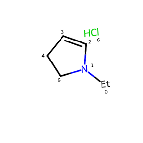 CCN1C=CCC1.Cl